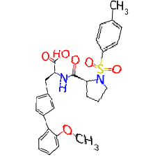 COc1ccccc1-c1ccc(C[C@H](NC(=O)[C@@H]2CCCN2S(=O)(=O)c2ccc(C)cc2)C(=O)O)cc1